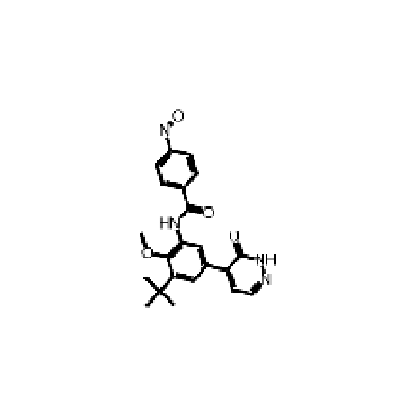 COc1c(NC(=O)c2ccc(N=O)cc2)cc(-c2ccn[nH]c2=O)cc1C(C)(C)C